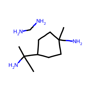 CC1(N)CCC(C(C)(C)N)CC1.NCN